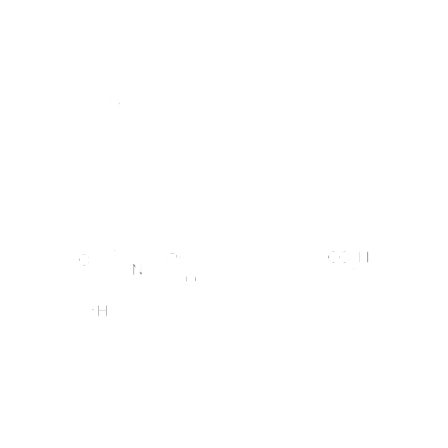 [2H]C(c1ccccc1OC1CCC(CC(=O)O)CC1)N(C(=O)c1ccc(-c2ccco2)cc1)C(C)C